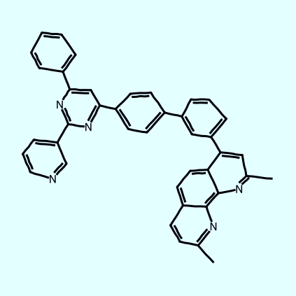 Cc1ccc2ccc3c(-c4cccc(-c5ccc(-c6cc(-c7ccccc7)nc(-c7cccnc7)n6)cc5)c4)cc(C)nc3c2n1